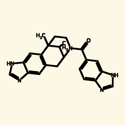 CC1C2Cc3cc4nc[nH]c4cc3C1(C)CCN2C(=O)c1ccc2nc[nH]c2c1